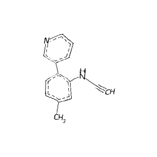 C#CNc1cc(C)ccc1-c1cccnc1